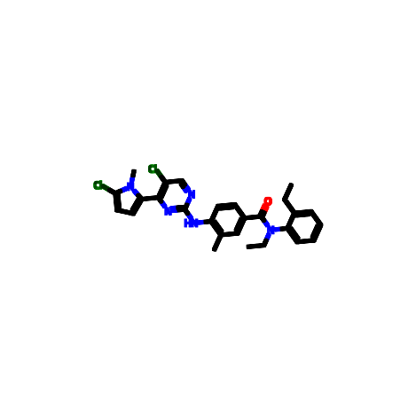 CCc1ccccc1N(CC)C(=O)c1ccc(Nc2ncc(Cl)c(-c3ccc(Cl)n3C)n2)c(C)c1